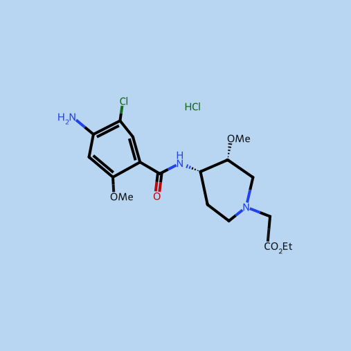 CCOC(=O)CN1CC[C@H](NC(=O)c2cc(Cl)c(N)cc2OC)[C@H](OC)C1.Cl